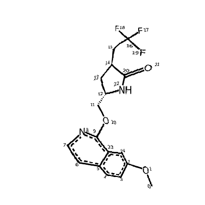 COc1ccc2ccnc(OC[C@@H]3C[C@@H](CC(F)(F)F)C(=O)N3)c2c1